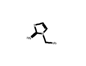 CCCCn1ccsc1=N